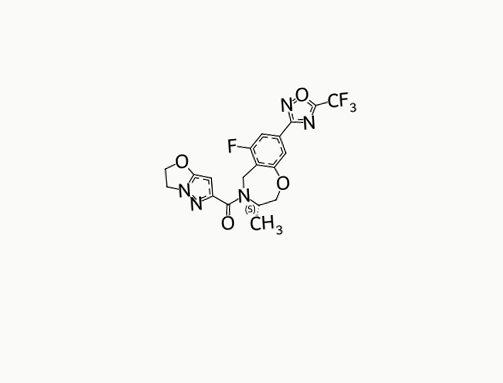 C[C@H]1COc2cc(-c3noc(C(F)(F)F)n3)cc(F)c2CN1C(=O)c1cc2n(n1)CCO2